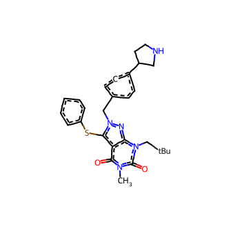 Cn1c(=O)c2c(Sc3ccccc3)n(Cc3ccc(C4CCNC4)cc3)nc2n(CC(C)(C)C)c1=O